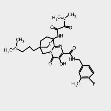 Cc1cc(CNC(=O)c2nc3n(c(=O)c2O)CC2(CCCN(C)C)CCC3(NC(=O)C(=O)N(C)C)CC2)ccc1F